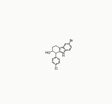 OC1CCc2c([nH]c3ccc(Br)cc23)C1c1ccc(Cl)cc1